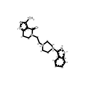 Cc1noc2c1C(=O)N(CCN1CCN(c3nsc4ccccc34)CC1)CC2